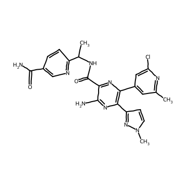 Cc1cc(-c2nc(C(=O)NC(C)c3ccc(C(N)=O)cn3)c(N)nc2-c2ccn(C)n2)cc(Cl)n1